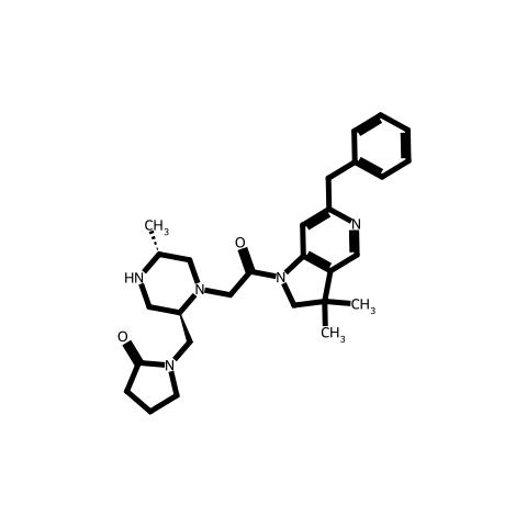 C[C@@H]1CN(CC(=O)N2CC(C)(C)c3cnc(Cc4ccccc4)cc32)[C@@H](CN2CCCC2=O)CN1